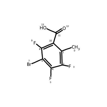 Cc1c(F)c(F)c(Br)c(F)c1C(=O)O